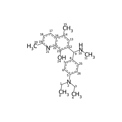 CCN(CC)c1ccc(C(NC)c2cc(C)c3ccc(C)nc3c2O)cc1